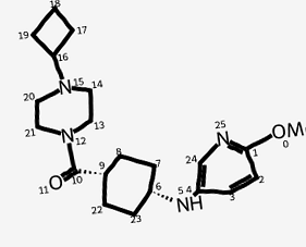 COc1ccc(N[C@H]2CC[C@@H](C(=O)N3CCN(C4CCC4)CC3)CC2)cn1